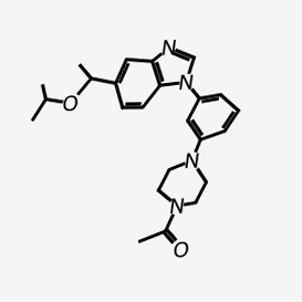 CC(=O)N1CCN(c2cccc(-n3cnc4cc(C(C)OC(C)C)ccc43)c2)CC1